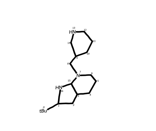 CC(C)(C)C1CC2CCCN(CC3CCCNC3)C2N1